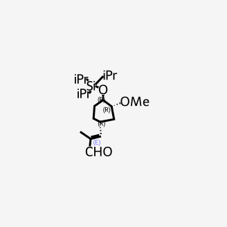 CO[C@@H]1C[C@H](/C=C(\C)C=O)CC[C@H]1O[Si](C(C)C)(C(C)C)C(C)C